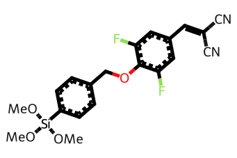 CO[Si](OC)(OC)c1ccc(COc2c(F)cc(C=C(C#N)C#N)cc2F)cc1